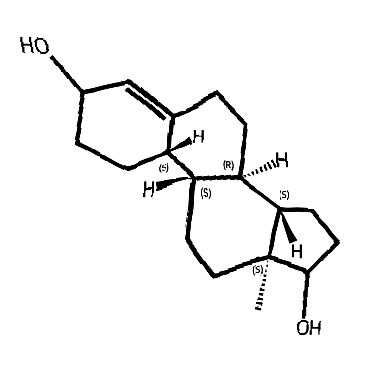 C[C@]12CC[C@H]3[C@@H](CCC4=CC(O)CC[C@H]43)[C@@H]1CCC2O